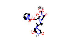 CC(C(C)N1CC(=O)N(C(=O)OC(C)(C)C)C(=O)C1COC(=O)N1CCCC1)N1CC(=O)NC(=O)C1